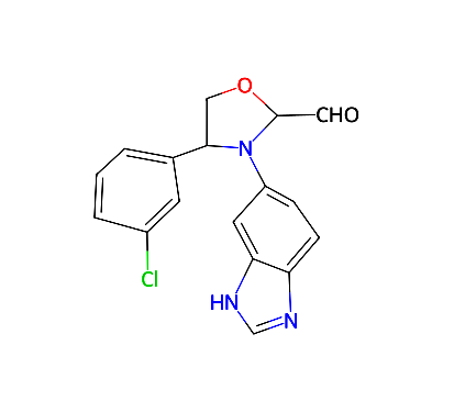 O=CC1OCC(c2cccc(Cl)c2)N1c1ccc2nc[nH]c2c1